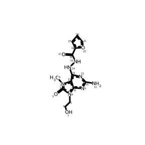 Cn1c(=O)n(CCO)c2nc(N)nc(NNC(=O)c3ccco3)c21